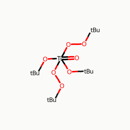 CC(C)(C)O[O][Ti](=[O])([O]OC(C)(C)C)([O]C(C)(C)C)[O]C(C)(C)C